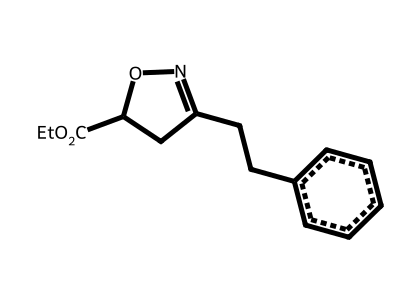 CCOC(=O)C1CC(CCc2ccccc2)=NO1